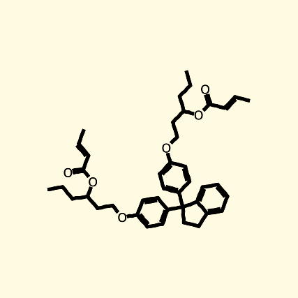 CC=CC(=O)OC(CCC)CCOc1ccc(C2(c3ccc(OCCC(CCC)OC(=O)C=CC)cc3)CCc3ccccc32)cc1